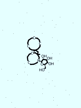 CC1(CC2(C)CCCCCCCCCN([C@@H]3O[C@H](CO)[C@@H](O)[C@H](O)[C@H]3O)C2)CCCCCCCCCCCC1